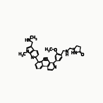 CNCc1cn(C)c2nc(-c3cccc(-c4ccnc(-c5ccc(CNC[C@H]6CCC(=O)N6)c(OC)c5)c4Cl)c3Cl)ccc12